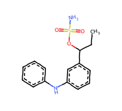 CCC(OS(N)(=O)=O)c1cccc(Nc2ccccc2)c1